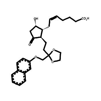 O=C(O)CCC/C=C\C[C@H]1[C@@H](O)CC(=O)[C@@H]1CCC1(COc2ccc3ccccc3c2)OCCO1